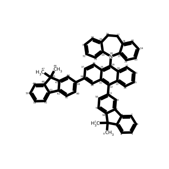 CC1(C)c2ccccc2-c2cc(-c3c4ccccc4c(N4c5ccccc5CCc5ccccc54)c4ccc(-c5ccc6c(c5)C(C)(C)c5ccccc5-6)cc34)ccc21